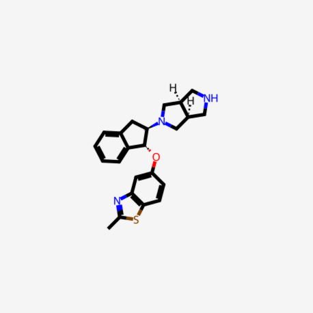 Cc1nc2cc(O[C@@H]3c4ccccc4C[C@H]3N3C[C@H]4CNC[C@H]4C3)ccc2s1